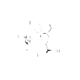 C=C(C)COC(CC)[Si](OC)(OC)OC.C=C[SiH3]